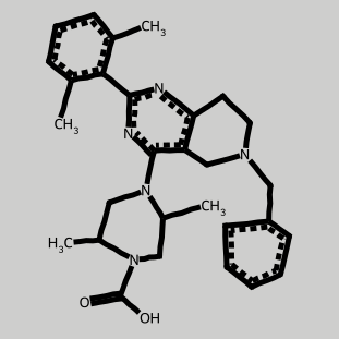 Cc1cccc(C)c1-c1nc2c(c(N3CC(C)N(C(=O)O)CC3C)n1)CN(Cc1ccccc1)CC2